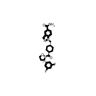 NC(=O)c1ccc2c(cnn2C[C@H]2CC[C@H](C(=O)N3OCC[C@H]3c3cc(F)cc(F)c3)CC2)c1